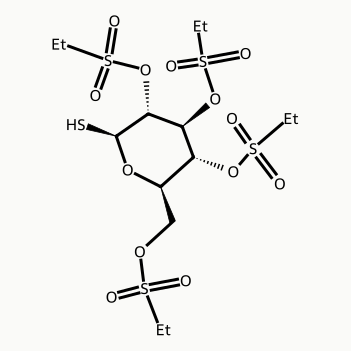 CCS(=O)(=O)OC[C@H]1O[C@@H](S)[C@H](OS(=O)(=O)CC)[C@@H](OS(=O)(=O)CC)[C@@H]1OS(=O)(=O)CC